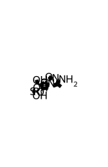 Cc1cn([C@H]2C[C@H](OP(O)(O)=S)[C@@H](CO)O2)c(=O)nc1N